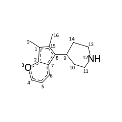 Cc1c2occcc-2c(C2CCNCC2)c1C